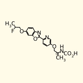 CC(F)COc1ccc2nc(-c3ccc(OC[C@H](C)NC(=O)O)cn3)oc2c1